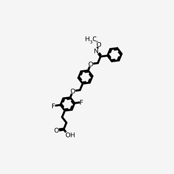 CON=C(COc1ccc(COc2cc(F)c(CCC(=O)O)cc2F)cc1)c1ccccc1